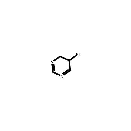 CCC1C=NC=NC1